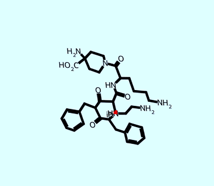 CC(C)CC(C(=O)NC(CCCCN)C(=O)N1CCC(N)(C(=O)O)CC1)C(=O)C(Cc1ccccc1)C(=O)C(Cc1ccccc1)NCCN